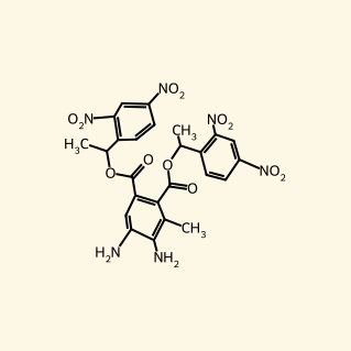 Cc1c(N)c(N)cc(C(=O)OC(C)c2ccc([N+](=O)[O-])cc2[N+](=O)[O-])c1C(=O)OC(C)c1ccc([N+](=O)[O-])cc1[N+](=O)[O-]